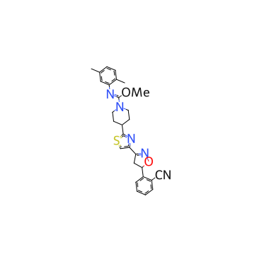 COC(=Nc1cc(C)ccc1C)N1CCC(c2nc(C3=NOC(c4ccccc4C#N)C3)cs2)CC1